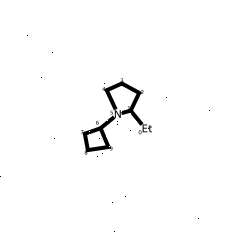 CCC1CCCN1C1CCC1